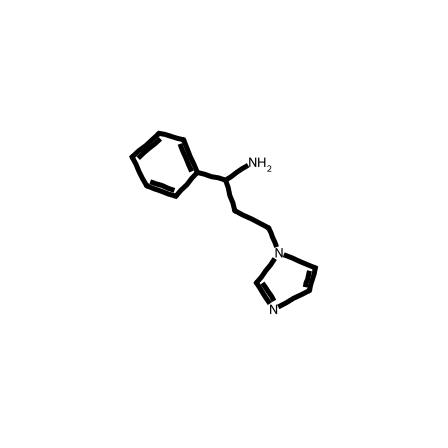 NC(CCn1ccnc1)c1ccccc1